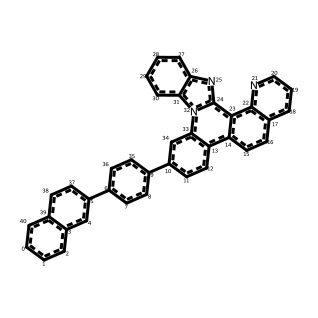 c1ccc2cc(-c3ccc(-c4ccc5c6ccc7cccnc7c6c6nc7ccccc7n6c5c4)cc3)ccc2c1